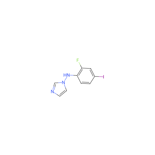 Fc1cc(I)ccc1Nn1ccnc1